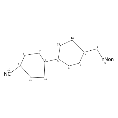 CCCCCCCCCCC1CCC(C2CCC(C#N)CC2)CC1